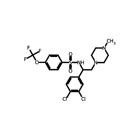 CN1CCN(CC(NS(=O)(=O)c2ccc(OC(F)(F)F)cc2)c2ccc(Cl)c(Cl)c2)CC1